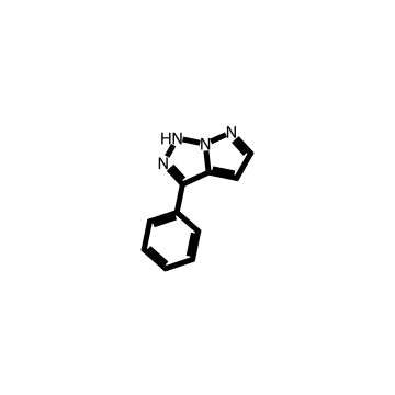 c1ccc(-c2n[nH]n3nccc23)cc1